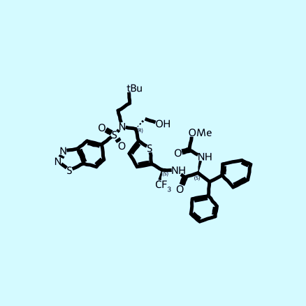 COC(=O)N[C@H](C(=O)N[C@H](c1ccc([C@@H](CO)N(CCC(C)(C)C)S(=O)(=O)c2ccc3snnc3c2)s1)C(F)(F)F)C(c1ccccc1)c1ccccc1